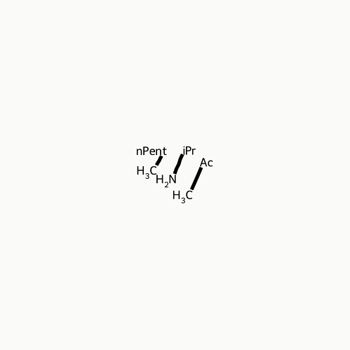 CC(C)=O.CC(C)N.CCCCCC